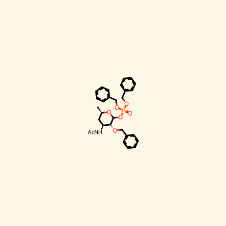 CC(=O)N[C@H]1C[C@@H](C)OC(OP(=O)(OCc2ccccc2)OCc2ccccc2)[C@@H]1OCc1ccccc1